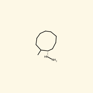 CC1CCCCCCCC[C@@H]1NN